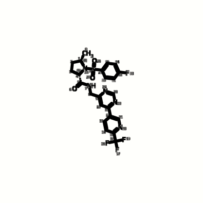 C[C@@H]1CC[C@@H](C(=O)NCc2cc(-c3ccc(C(F)(F)F)nc3)ncn2)N1S(=O)(=O)c1ccc(F)cc1